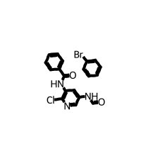 Brc1ccccc1.O=CNc1cnc(Cl)c(NC(=O)c2ccccc2)c1